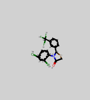 O=C1CSC(c2cccc(C(F)(F)F)c2)N1c1ccc(Cl)cc1Br